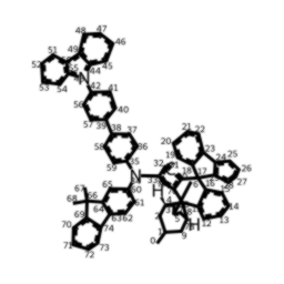 CC1C[C@H]2CC(C)C[C@H](C1)C21c2ccccc2C2(c3ccccc3-c3ccccc32)c2ccc(N(c3ccc(-c4ccc(-n5c6ccccc6c6ccccc65)cc4)cc3)c3ccc4c(c3)C(C)(C)c3ccccc3-4)cc21